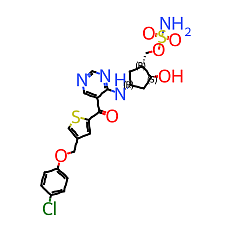 NS(=O)(=O)OC[C@H]1C[C@@H](Nc2ncncc2C(=O)c2cc(COc3ccc(Cl)cc3)cs2)C[C@@H]1O